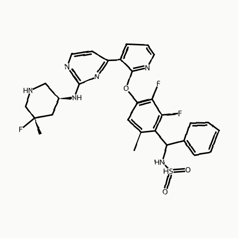 Cc1cc(Oc2ncccc2-c2ccnc(N[C@@H]3CNC[C@@](C)(F)C3)n2)c(F)c(F)c1C(N[SH](=O)=O)c1ccccc1